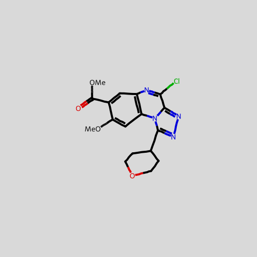 COC(=O)c1cc2nc(Cl)c3nnc(C4CCOCC4)n3c2cc1OC